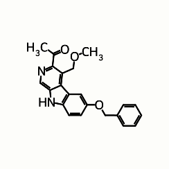 COCc1c(C(C)=O)ncc2[nH]c3ccc(OCc4ccccc4)cc3c12